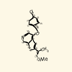 CO/N=C(\C)c1cc2c(Oc3ccc(Cl)cc3)cncc2s1